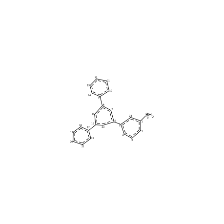 Bc1cccc(-c2cc(-c3ccccc3)cc(-c3ccccc3)c2)c1